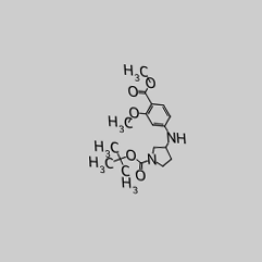 COC(=O)c1ccc(NC2CCN(C(=O)OC(C)(C)C)C2)cc1OC